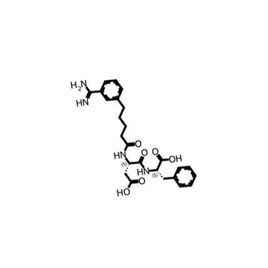 N=C(N)c1cccc(CCCCC(=O)N[C@@H](CC(=O)O)C(=O)N[C@@H](Cc2ccccc2)C(=O)O)c1